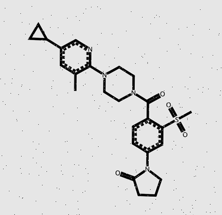 Cc1cc(C2CC2)cnc1N1CCN(C(=O)c2ccc(N3CCCC3=O)cc2S(C)(=O)=O)CC1